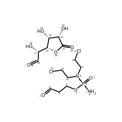 NP(=O)(OCCC=O)N(CCCl)CCCl.O=C[C@H](O)[C@H]1OC(=O)[C@@H](O)[C@H]1O